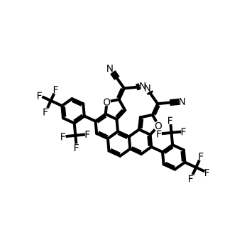 N#CC(C#N)=c1cc2c(o1)c(-c1ccc(C(F)(F)F)cc1C(F)(F)F)cc1ccc3cc(-c4ccc(C(F)(F)F)cc4C(F)(F)F)c4oc(=C(C#N)C#N)cc4c3c12